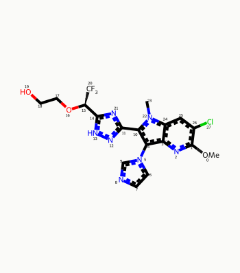 COc1nc2c(-n3ccnc3)c(-c3n[nH]c([C@@H](OCCO)C(F)(F)F)n3)n(C)c2cc1Cl